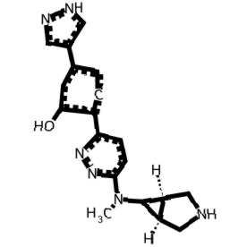 CN(c1ccc(-c2ccc(-c3cn[nH]c3)cc2O)nn1)C1[C@H]2CNC[C@@H]12